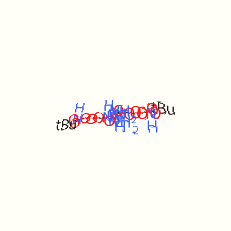 CC(C)(C)OC(=O)NCCCOCCOCCOCCCNC(=O)c1nc(N)c(C(=O)NCCCOCCOCCOCCCNC(=O)OC(C)(C)C)nc1N